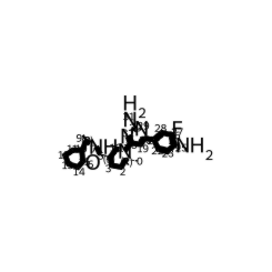 C[C@@H]1CC[C@H](C(=O)N[C@H](C)C2CCCCC2)CN1c1cc(-c2ccc(N)c(F)c2)nc(N)n1